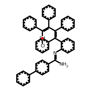 N/C(=N\c1ccccc1/C(=C(/C(=[C](\[Pd][Cl])c1ccccc1)c1ccccc1)c1ccccc1)c1ccccc1)c1ccc(-c2ccccc2)cc1